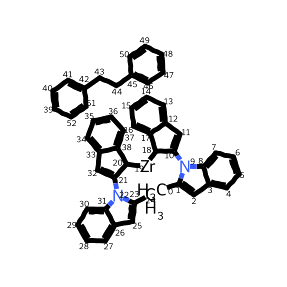 Cc1cc2ccccc2n1C1=Cc2ccccc2[CH]1[Zr][CH]1C(n2c(C)cc3ccccc32)=Cc2ccccc21.c1ccc(CCc2ccccc2)cc1